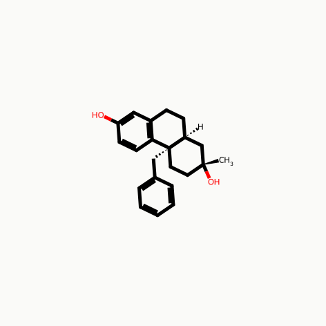 C[C@@]1(O)CC[C@@]2(Cc3ccccc3)c3ccc(O)cc3CC[C@H]2C1